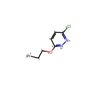 CC(C)CCOc1ccc(Cl)nn1